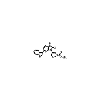 CC(C)(C)OC(=O)N1CCC[C@@H](n2c(=O)[nH]c3ccc(-c4cnn5ccccc45)nc32)C1